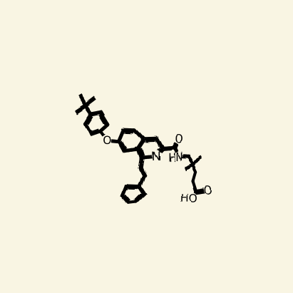 CC(C)(CCC(=O)O)CNC(=O)c1cc2ccc(Oc3ccc(C(C)(C)C)cc3)cc2c(CCc2ccccc2)n1